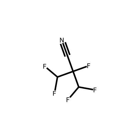 N#CC(F)(C(F)F)C(F)F